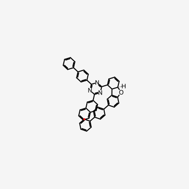 C1=C[C@H]2Oc3ccc(-c4ccc(-c5ccccc5)cc4)cc3C2C(c2nc(-c3ccc(-c4ccccc4)cc3)nc(-c3ccc4ccccc4c3)n2)=C1